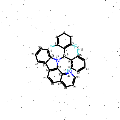 FC1=CCCC(F)=C1B(c1c(F)cccc1F)n1c2ccccc2c2ccc3cccnc3c21